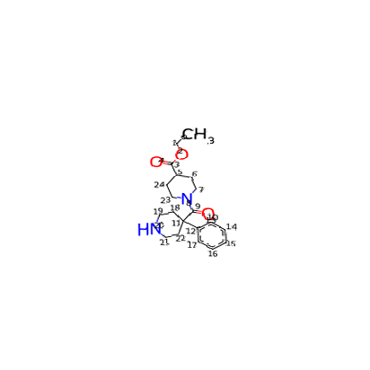 CCOC(=O)C1CCN(C(=O)C2(c3ccccc3)CCNCC2)CC1